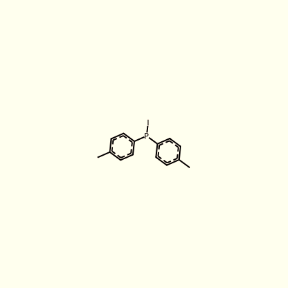 Cc1ccc(P(I)c2ccc(C)cc2)cc1